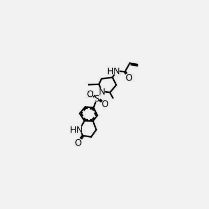 C=CC(=O)NC1CC(C)N(S(=O)(=O)c2ccc3c(c2)CCC(=O)N3)C(C)C1